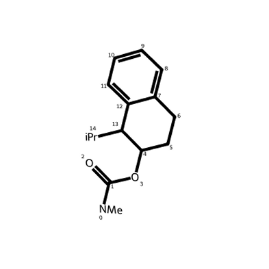 CNC(=O)OC1CCc2ccccc2C1C(C)C